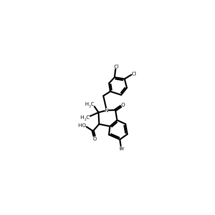 CC1(C)C(C(=O)O)c2cc(Br)ccc2C(=O)N1Cc1ccc(Cl)c(Cl)c1